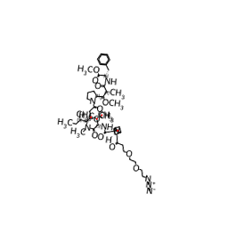 CC[C@H](C)[C@@H]([C@@H](CC(=O)N1CCC[C@H]1[C@H](OC)[C@@H](C)C(=O)N[C@@H](Cc1ccccc1)C(=O)OC)OC)N(C)C(=O)[C@@H](NC(=O)[C@@H]1C2CC(C2)N1C(=O)CCOCCOCCN=[N+]=[N-])C(C)C